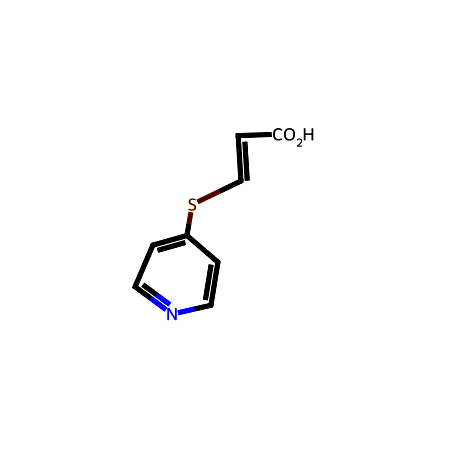 O=C(O)/C=C/Sc1ccncc1